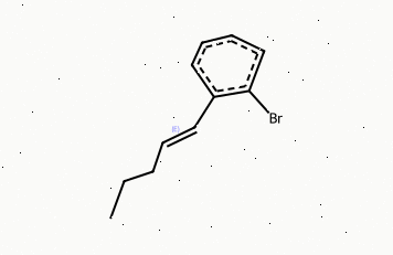 CCC/C=C/c1ccccc1Br